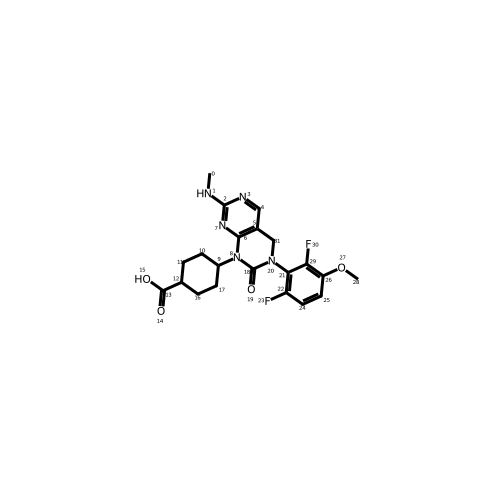 CNc1ncc2c(n1)N(C1CCC(C(=O)O)CC1)C(=O)N(c1c(F)ccc(OC)c1F)C2